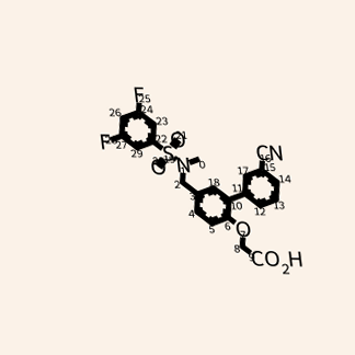 CN(Cc1ccc(OCC(=O)O)c(-c2cccc(C#N)c2)c1)S(=O)(=O)c1cc(F)cc(F)c1